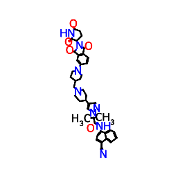 CC(C)(C(=O)Nc1ccc(C#N)c2ccccc12)n1cc(C2CCN(CC3CCN(c4ccc5c(c4)C(=O)N(C4CCC(=O)NC4=O)C5=O)CC3)CC2)cn1